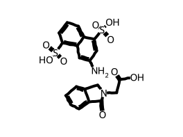 Nc1cc(S(=O)(=O)O)c2cccc(S(=O)(=O)O)c2c1.O=C(O)CN1Cc2ccccc2C1=O